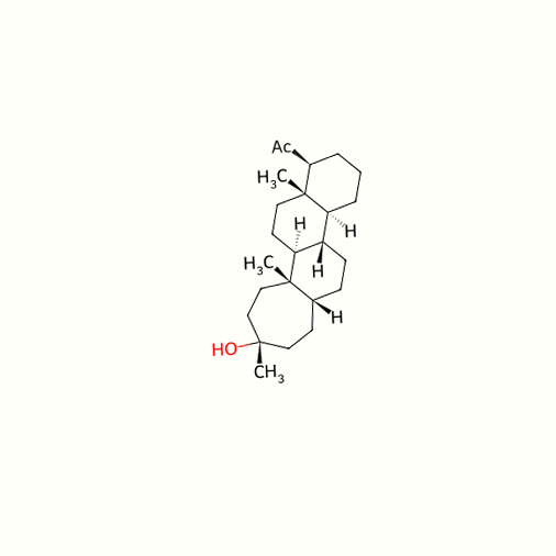 CC(=O)[C@H]1CCC[C@H]2[C@@H]3CC[C@@H]4CC[C@](C)(O)CC[C@]4(C)[C@H]3CC[C@]12C